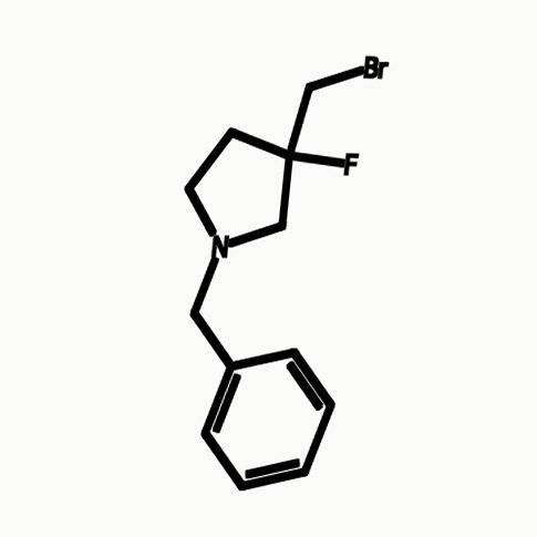 FC1(CBr)CCN(Cc2ccccc2)C1